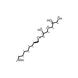 CCCCCCCCCCCCCCCCC=COCC(O)COCC(O)CO